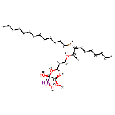 CCCCCCCCCCCCCSC(CCCCCCC)C(C)OCCCOC(O)([PH2]=O)C(=O)OC